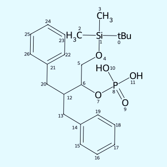 CC(C)(C)[Si](C)(C)OCC(OP(=O)(O)O)C(Cc1ccccc1)Cc1ccccc1